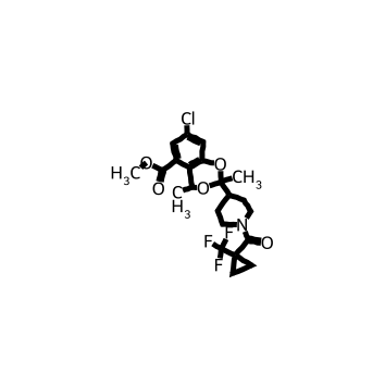 COC(=O)c1cc(Cl)cc2c1C(C)OC(C)(C1CCN(C(=O)C3(C(F)(F)F)CC3)CC1)O2